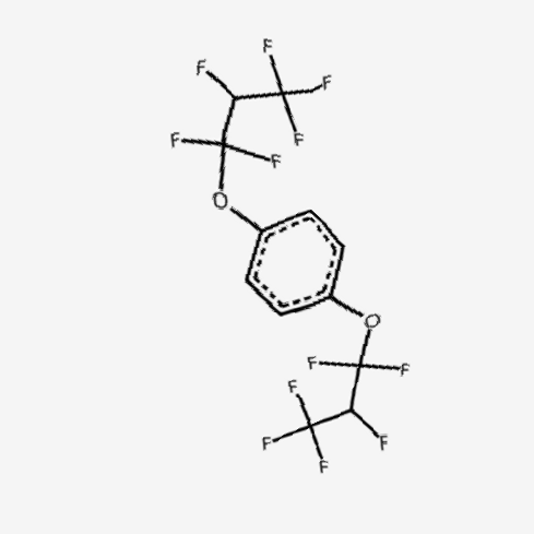 FC(C(F)(F)F)C(F)(F)Oc1ccc(OC(F)(F)C(F)C(F)(F)F)cc1